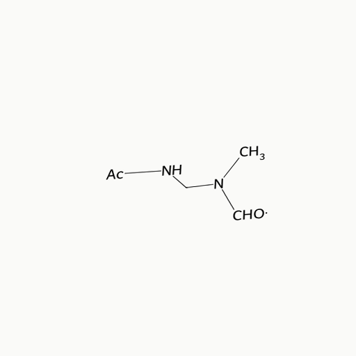 CC(=O)NCN(C)[C]=O